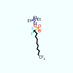 CC[N+](CC)(CC)CC.O=S(=O)([O-])C(F)(F)CCCCCCCCC(F)(F)F